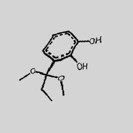 CCC(OC)(OC)c1cccc(O)c1O